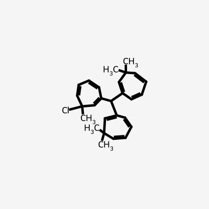 CC1(C)C=CC=CC(C(C2=CC(C)(C)C=CC=C2)C2=CC(C)(Cl)C=CC=C2)=C1